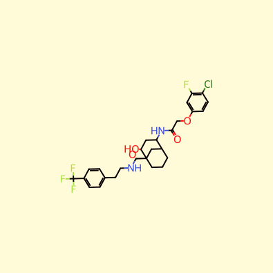 O=C(COc1ccc(Cl)c(F)c1)NC1CC(O)C2(C(=O)NCCc3ccc(C(F)(F)F)cc3)CCCC1C2